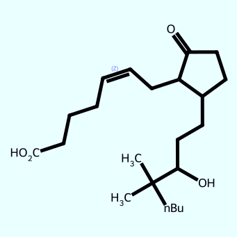 CCCCC(C)(C)C(O)CCC1CCC(=O)C1C/C=C\CCCC(=O)O